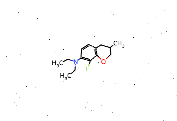 CCN(CC)c1ccc2c(c1F)OCC(C)C2